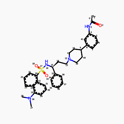 CC(C)C(=O)Nc1cccc(C2CCN(CC[C@H](NS(=O)(=O)c3cccc4c(N(C)C)cccc34)c3ccccc3)CC2)c1